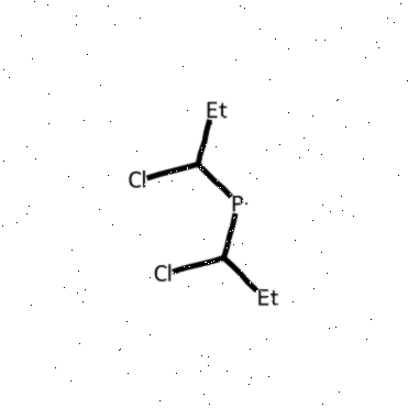 CCC(Cl)[P]C(Cl)CC